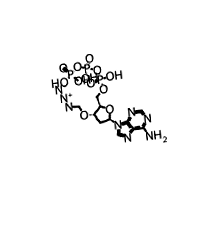 [N-]=[N+]=NCO[C@H]1C[C@H](n2cnc3c(N)ncnc32)O[C@@H]1COP(=O)(O)OP(=O)(O)OP(=O)(O)O